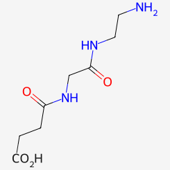 NCCNC(=O)CNC(=O)CCC(=O)O